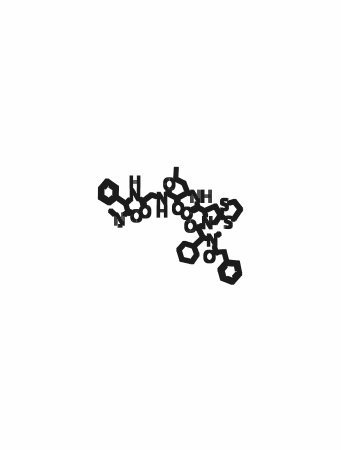 CCCC(NC(=O)C1CC2(CN1C(=O)C(C1CCCCC1)N(C)C(=O)Cc1ccccc1)SCCCS2)C(=O)C(=O)NCC(=O)NC(C(=O)N(C)C)c1ccccc1